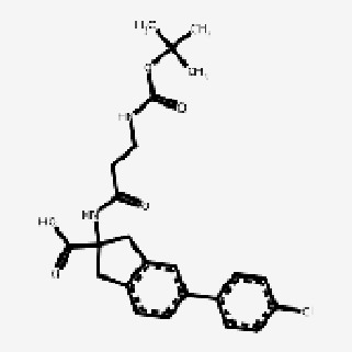 CC(C)(C)OC(=O)NCCC(=O)NC1(C(=O)O)Cc2ccc(-c3ccc(Cl)cc3)cc2C1